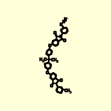 Cc1cccc(C2C(=O)c3ccc(Oc4ccc(C(C)(C)c5ccc(Oc6ccc7c(c6)C(=O)N(c6cccc(N=[N+]=[N-])c6)C7=O)cc5)cc4)cc3C2=O)c1